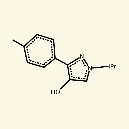 Cc1ccc(-c2nn(C(C)C)cc2O)cc1